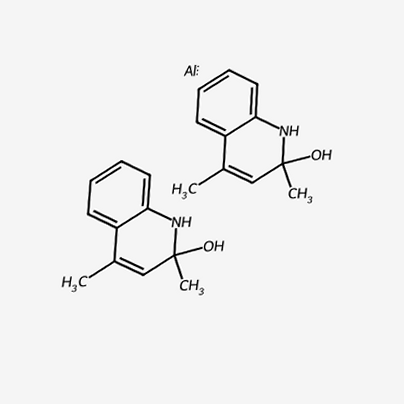 CC1=CC(C)(O)Nc2ccccc21.CC1=CC(C)(O)Nc2ccccc21.[Al]